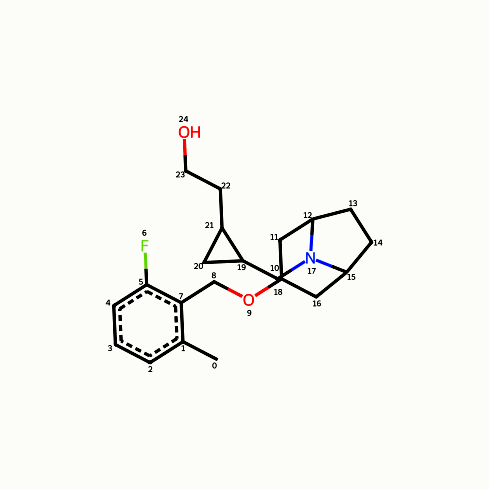 Cc1cccc(F)c1COC1CC2CCC(C1)N2CC1CC1CCO